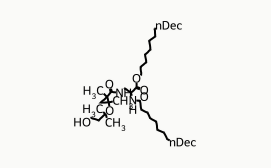 CCCCCCCCCCCCCCCCCCOC(=O)C(CNC(=O)C1(C)CC1(C)OC(C)(C)CCO)NC(=O)CCCCCCCCCCCCCCCCC